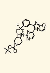 CC(C)(C)OC(=O)N1CCC(Nc2nccc(-c3c(-c4cccc(C(F)(F)F)c4)nc4occn34)n2)CC1